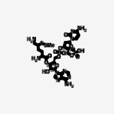 CSSC(CN)CCC(N)C(=O)O[C@H]1[C@@H](O)[C@H](n2cnc3c(N)ncnc32)O[C@@H]1COP(=O)(O)O[C@H]1C[C@H](n2ccc(N)nc2=O)O[C@@H]1COP(=O)(O)O